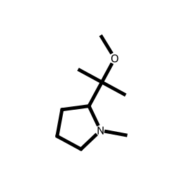 COC(C)(C)C1CCCN1C